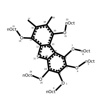 CCCCCCCCOc1c(OCCCCCCCC)c(OCCCCCCCC)c2c(sc3c(OCCCCCCCC)c(C)c(C)c(OCCCCCCCC)c32)c1OCCCCCCCC